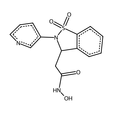 O=C(CC1c2ccccc2S(=O)(=O)N1c1cccnc1)NO